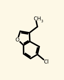 CCc1coc2ccc(Cl)cc12